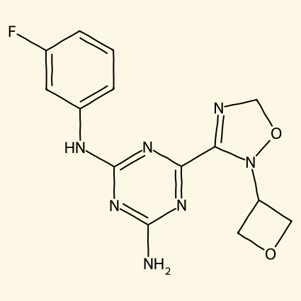 Nc1nc(Nc2cccc(F)c2)nc(C2=NCON2C2COC2)n1